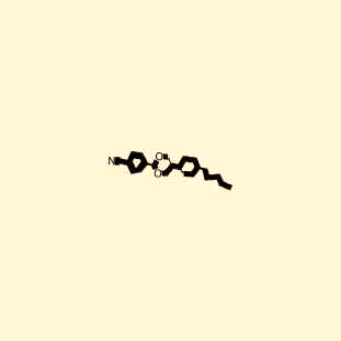 CCCCC[C@H]1CC[C@H]([C@H]2CO[C@H](c3ccc(C#N)cc3)OC2)CC1